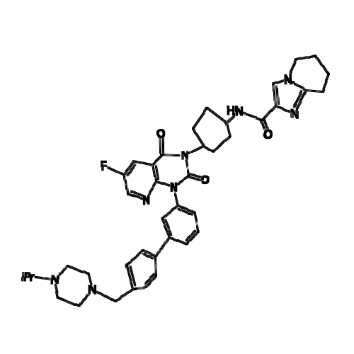 CC(C)N1CCN(Cc2ccc(-c3cccc(-n4c(=O)n(C5CCC(NC(=O)c6cn7c(n6)CCCC7)CC5)c(=O)c5cc(F)cnc54)c3)cc2)CC1